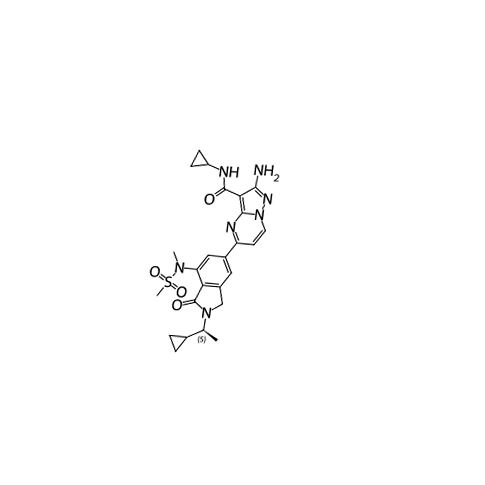 C[C@@H](C1CC1)N1Cc2cc(-c3ccn4nc(N)c(C(=O)NC5CC5)c4n3)cc(N(C)S(C)(=O)=O)c2C1=O